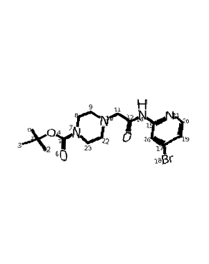 CC(C)(C)OC(=O)N1CCN(CC(=O)Nc2cc(Br)ccn2)CC1